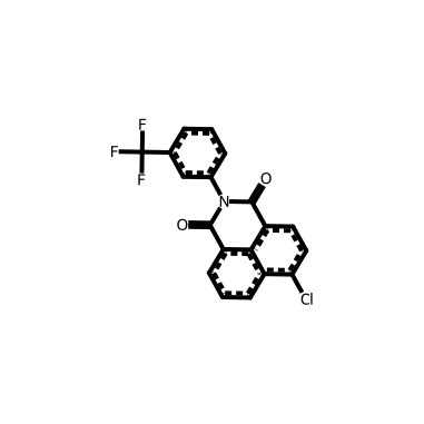 O=C1c2cccc3c(Cl)ccc(c23)C(=O)N1c1cccc(C(F)(F)F)c1